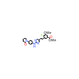 COC(=O)c1cc(/C=C/c2cnc(Nc3ccc(-n4ccccc4=O)cc3)nc2)c(F)c(OC)c1